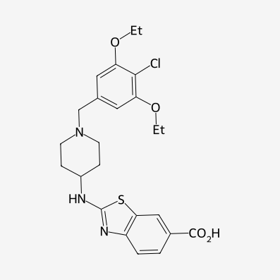 CCOc1cc(CN2CCC(Nc3nc4ccc(C(=O)O)cc4s3)CC2)cc(OCC)c1Cl